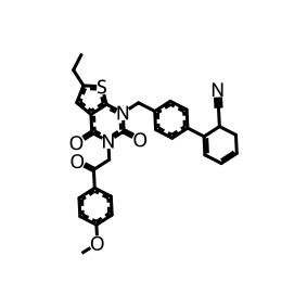 CCc1cc2c(=O)n(CC(=O)c3ccc(OC)cc3)c(=O)n(Cc3ccc(C4=CC=CCC4C#N)cc3)c2s1